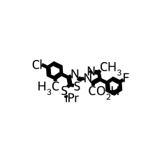 Cc1cc(Cl)ccc1-c1nc(-n2nc(C)c(-c3cccc(F)c3)c2C(=O)O)sc1SC(C)C